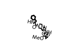 COCC1(S(=O)(=O)Nc2cc3n(n2)CCN(C(=O)c2cc4ccccc4[nH]2)C3)CC1